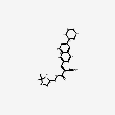 CC1(C)OCC(COC(=O)/C(C#N)=C/c2ccc3cc(N4CCCCC4)ccc3c2)O1